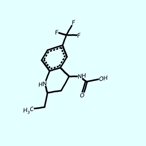 CCC1CC(NC(=O)O)c2cc(C(F)(F)F)ccc2N1